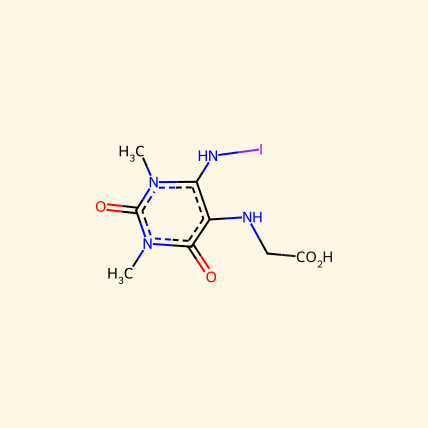 Cn1c(NI)c(NCC(=O)O)c(=O)n(C)c1=O